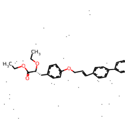 CCOC(=O)[C@@H](Cc1ccc(OC/C=C/c2ccc(-c3ccccc3)cc2)cc1)OCC